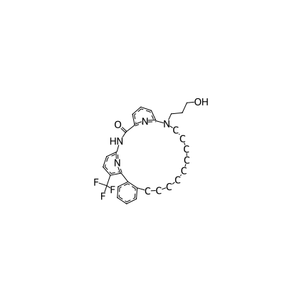 O=C1Nc2ccc(C(F)(F)F)c(n2)-c2ccccc2CCCCCCCCCN(CCCO)c2cccc1n2